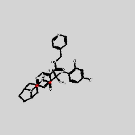 CC(C)(Oc1ccc(Cl)cc1Cl)C(=O)NC1CC2CCC(C1)N2c1ccc(C(=O)NCc2ccncc2)cn1